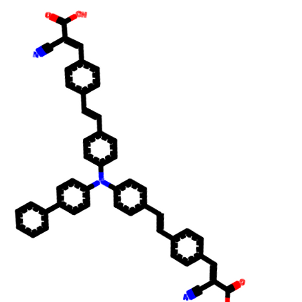 N#C/C(=C\c1ccc(/C=C/c2ccc(N(c3ccc(/C=C/c4ccc(/C=C(\C#N)C(=O)O)cc4)cc3)c3ccc(-c4ccccc4)cc3)cc2)cc1)C(=O)O